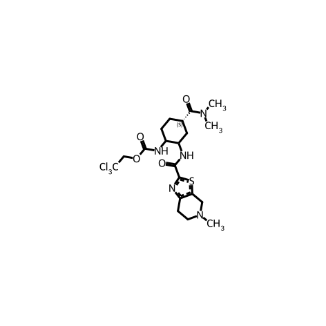 CN1CCc2nc(C(=O)NC3C[C@@H](C(=O)N(C)C)CCC3NC(=O)OCC(Cl)(Cl)Cl)sc2C1